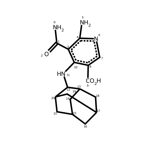 NC(=O)c1c(N)ncc(C(=O)O)c1NC1C2CC3CC(C2)CC1C3